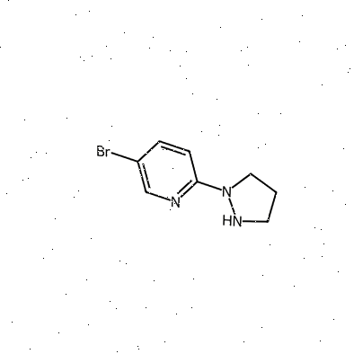 Brc1ccc(N2CCCN2)nc1